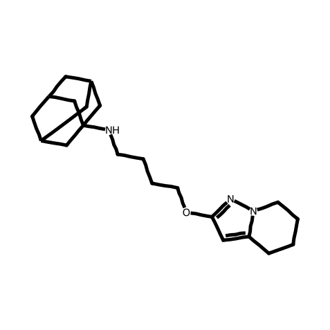 c1c(OCCCCNC23CC4CC(CC(C4)C2)C3)nn2c1CCCC2